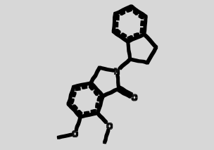 COc1ccc2c(c1OC)C(=O)N(C1CCc3ccccc31)C2